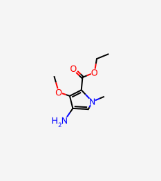 CCOC(=O)c1c(OC)c(N)cn1C